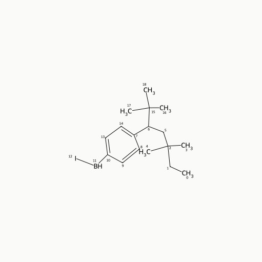 CCC(C)(C)CC(c1ccc(BI)cc1)C(C)(C)C